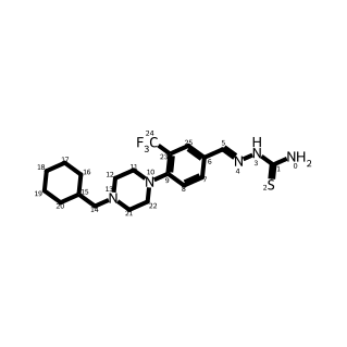 NC(=S)NN=Cc1ccc(N2CCN(CC3CCCCC3)CC2)c(C(F)(F)F)c1